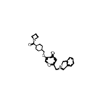 O=C(C1CCC(COc2coc(CN3Cc4ccccc4C3)cc2=O)CC1)N1CCC1